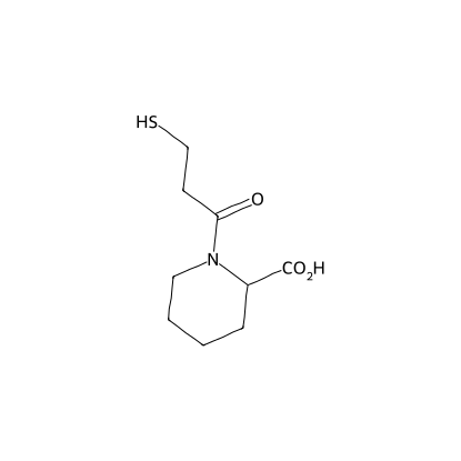 O=C(O)C1CCCCN1C(=O)CCS